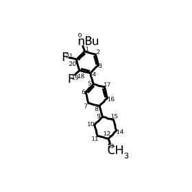 CCCCc1ccc(C2=CCC(C3CCC(C)CC3)C=C2)c(F)c1F